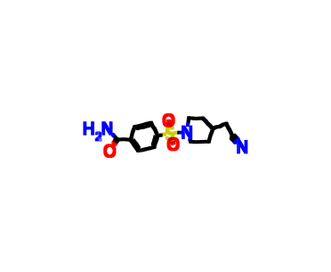 N#CCC1CCN(S(=O)(=O)c2ccc(C(N)=O)cc2)CC1